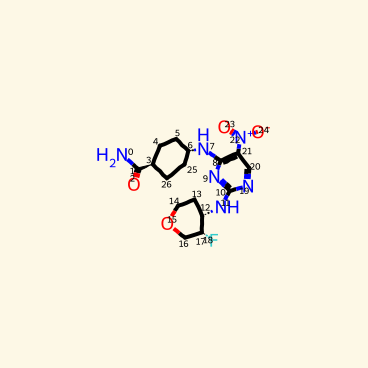 NC(=O)[C@H]1CC[C@H](Nc2nc(N[C@H]3CCOC[C@H]3F)ncc2[N+](=O)[O-])CC1